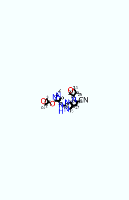 C[C@@H]1OC[C@H]1Oc1nn(C)cc1Nc1ncc2cc(C#N)n([C@H]3COC[C@@H]3C)c2n1